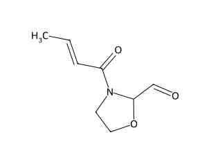 C/C=C/C(=O)N1CCOC1C=O